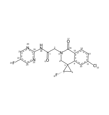 O=C(CN1CC2(C[C@@H]2F)c2cc(Cl)ccc2C1=O)Nc1ncc(F)cn1